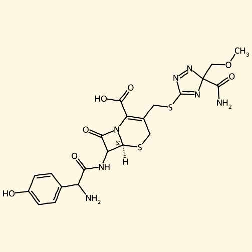 COCC1(C(N)=O)N=NC(SCC2=C(C(=O)O)N3C(=O)C(NC(=O)C(N)c4ccc(O)cc4)[C@@H]3SC2)=N1